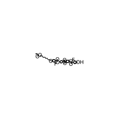 C=CC(=O)OCCCCCCCCOc1ccc(C(=O)Oc2ccc(S(=O)(=O)c3ccc(OC(=O)c4ccc(O)cc4F)cc3)cc2)c(F)c1